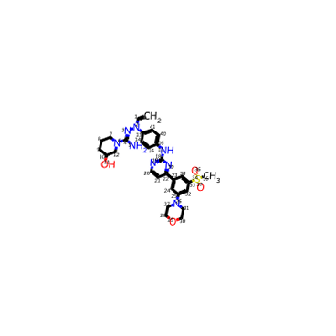 C=CN(/N=C(\N)N1CCCC(O)C1)c1ccc(Nc2nccc(-c3cc(N4CCOCC4)cc(S(C)(=O)=O)c3)n2)cc1